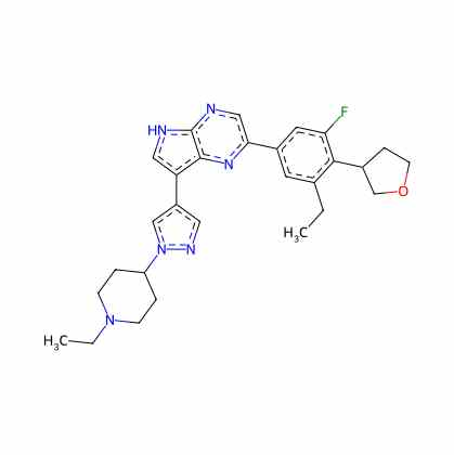 CCc1cc(-c2cnc3[nH]cc(-c4cnn(C5CCN(CC)CC5)c4)c3n2)cc(F)c1C1CCOC1